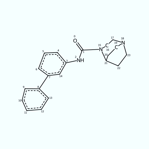 O=C(Nc1cccc(-c2ccccc2)c1)N1CCN2CCC1CC2